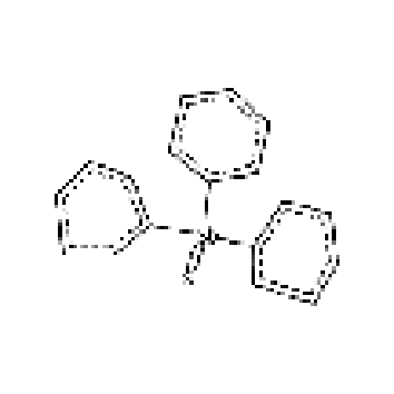 [S]=[Sb]([c]1ccccc1)([c]1ccccc1)[c]1ccccc1